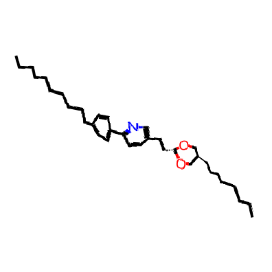 CCCCCCCCCCc1ccc(-c2ccc(CC[C@H]3OC[C@H](CCCCCCCC)CO3)cn2)cc1